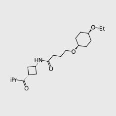 CCO[C@H]1CC[C@@H](OCCCC(=O)N[C@H]2C[C@@H](C(=O)C(C)C)C2)CC1